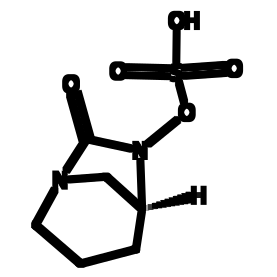 O=C1N2CCC[C@@H](C2)N1OS(=O)(=O)O